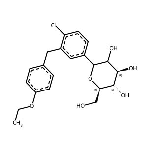 CCOc1ccc(Cc2cc(C3O[C@H](CO)[C@@H](O)[C@H](O)C3O)ccc2Cl)cc1